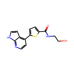 O=C(NCCO)c1ccc(-c2ccnc3[nH]ccc23)s1